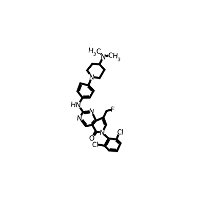 CN(C)C1CCN(c2ccc(Nc3ncc4c(=O)n(-c5c(Cl)cccc5Cl)cc(CF)c4n3)cc2)CC1